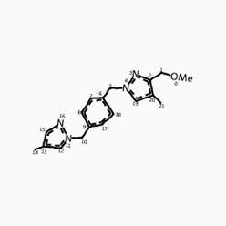 COCc1nn(Cc2ccc(Cn3cc(C)cn3)cc2)cc1C